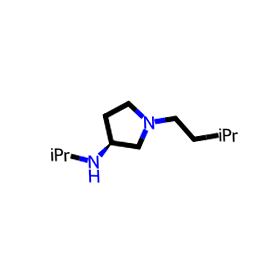 CC(C)CCN1CC[C@H](NC(C)C)C1